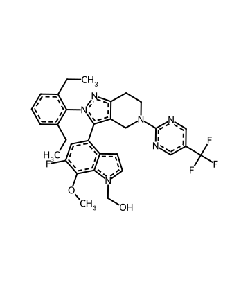 CCc1cccc(CC)c1-n1nc2c(c1-c1cc(F)c(OC)c3c1ccn3CO)CN(c1ncc(C(F)(F)F)cn1)CC2